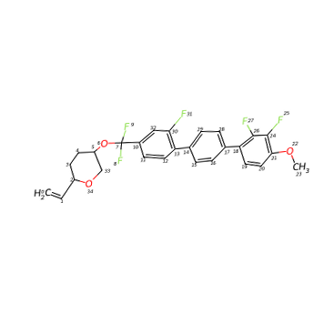 C=CC1CCC(OC(F)(F)c2ccc(-c3ccc(-c4ccc(OC)c(F)c4F)cc3)c(F)c2)CO1